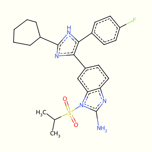 CC(C)S(=O)(=O)n1c(N)nc2ccc(-c3nc(C4CCCCC4)[nH]c3-c3ccc(F)cc3)cc21